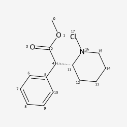 COC(=O)C(c1ccccc1)[C@H]1CCCCN1Cl